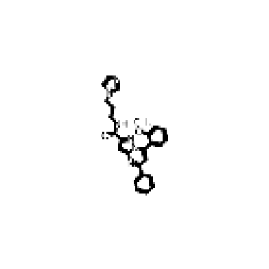 COc1ccccc1-c1cc(-c2ccccc2)nc2cc(C(=O)NCCCn3ccnc3)nn12